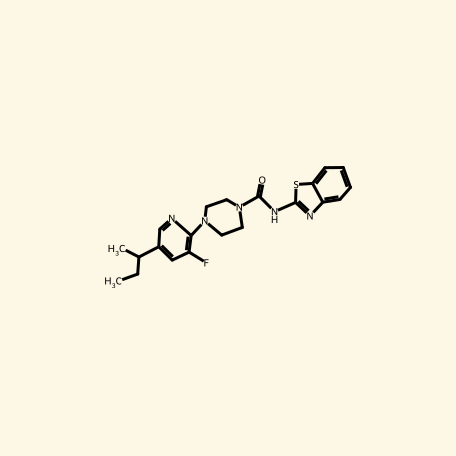 CCC(C)c1cnc(N2CCN(C(=O)Nc3nc4ccccc4s3)CC2)c(F)c1